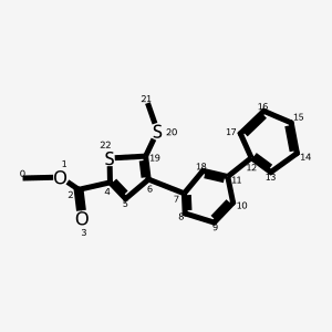 COC(=O)c1cc(-c2cccc(-c3ccccc3)c2)c(SC)s1